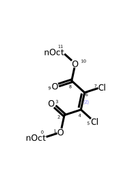 CCCCCCCCOC(=O)/C(Cl)=C(/Cl)C(=O)OCCCCCCCC